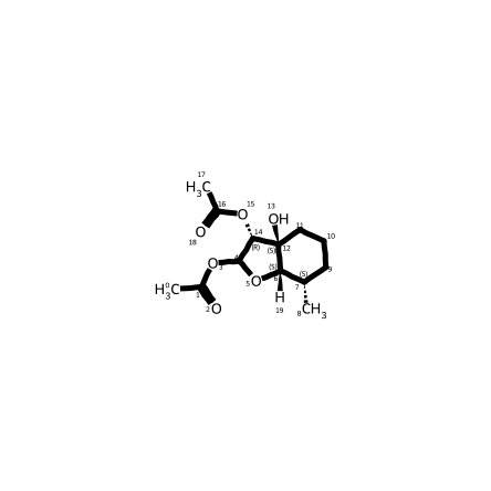 CC(=O)OC1O[C@H]2[C@@H](C)CCC[C@@]2(O)[C@H]1OC(C)=O